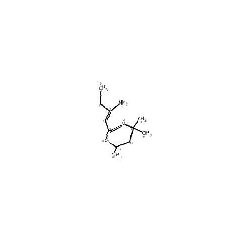 CCC(N)=CC1=NC(C)(C)CC(C)O1